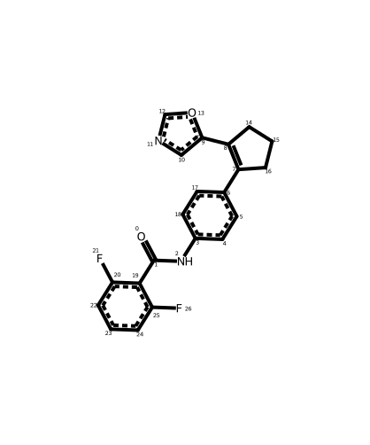 O=C(Nc1ccc(C2=C(c3cnco3)CCC2)cc1)c1c(F)cccc1F